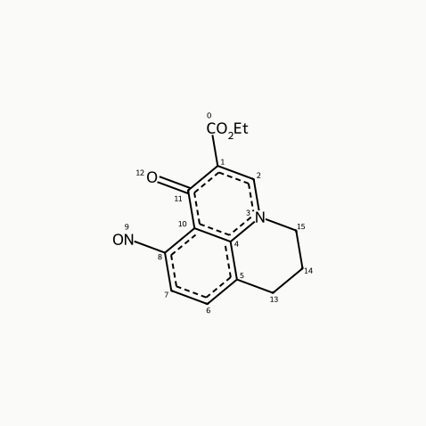 CCOC(=O)c1cn2c3c(ccc(N=O)c3c1=O)CCC2